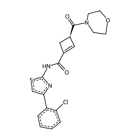 O=C(Nc1nc(-c2ccccc2Cl)cs1)C1=C[C@H](C(=O)N2CCOCC2)C1